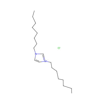 CCCCCCCCn1cc[n+](CCCCCCCC)c1.[Cl-]